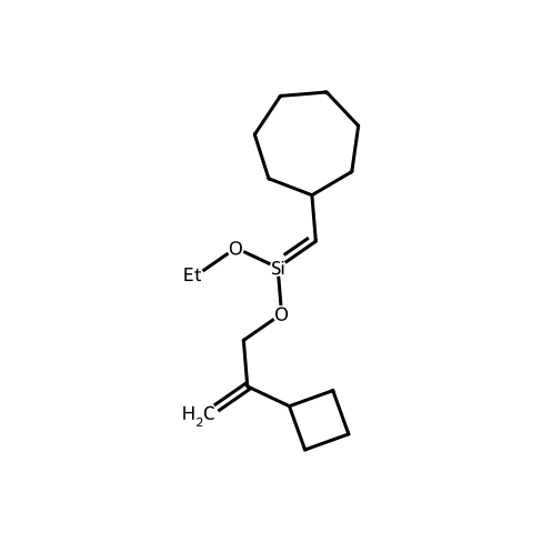 C=C(CO[Si](=CC1CCCCCC1)OCC)C1CCC1